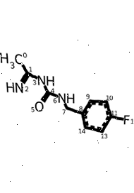 CC(=N)NC(=O)NCc1ccc(F)cc1